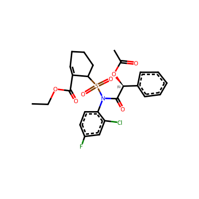 CCOC(=O)C1=CCCCC1S(=O)(=O)N(C(=O)[C@@H](OC(C)=O)c1ccccc1)c1ccc(F)cc1Cl